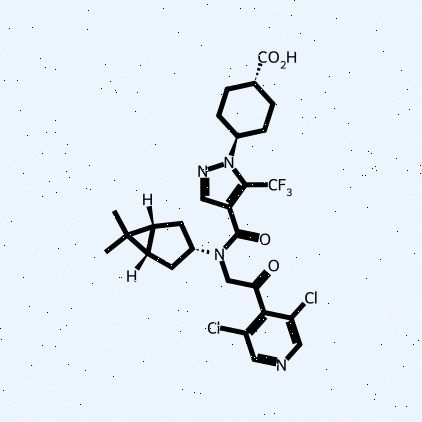 CC1(C)[C@@H]2C[C@H](N(CC(=O)c3c(Cl)cncc3Cl)C(=O)c3cnn([C@H]4CC[C@H](C(=O)O)CC4)c3C(F)(F)F)C[C@@H]21